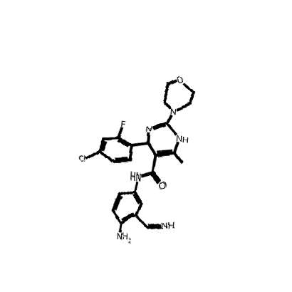 CC1=C(C(=O)Nc2ccc(N)c(C=N)c2)C(c2ccc(Cl)cc2F)N=C(N2CCOCC2)N1